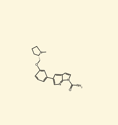 CN1CCC[C@H]1COc1cccc(-c2cnc3c([c]cn3C(N)=O)c2)c1